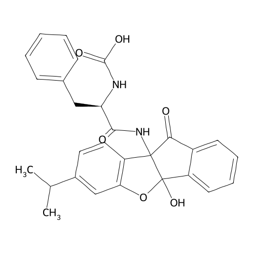 CC(C)c1ccc2c(c1)OC1(O)c3ccccc3C(=O)C21NC(=O)[C@@H](Cc1ccccc1)NC(=O)O